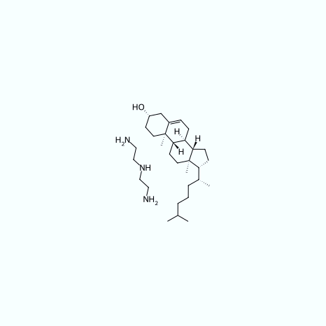 CC(C)CCC[C@@H](C)[C@H]1CC[C@H]2[C@@H]3CC=C4C[C@@H](O)CC[C@]4(C)[C@H]3CC[C@]12C.NCCNCCN